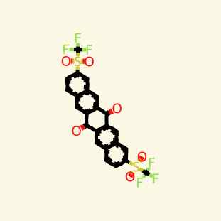 O=C1c2cc3ccc(S(=O)(=O)C(F)(F)F)cc3cc2C(=O)c2cc3cc(S(=O)(=O)C(F)(F)F)ccc3cc21